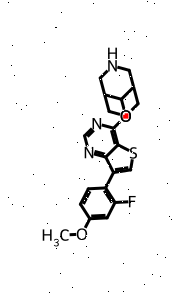 COc1ccc(-c2csc3c(OC4C5CNCC4COC5)ncnc23)c(F)c1